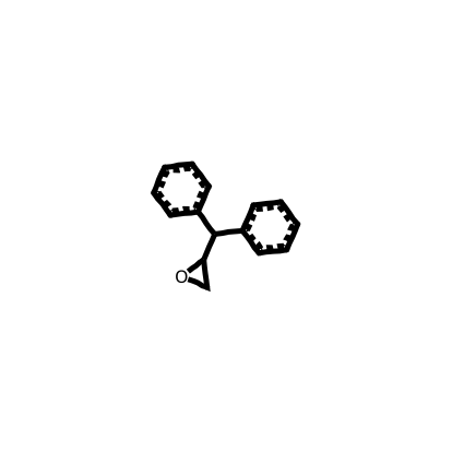 c1ccc(C(c2ccccc2)C2CO2)cc1